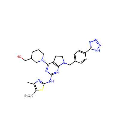 CCOC(=O)c1sc(Nc2nc3c(c(N4CCCC(CO)C4)n2)CCN3Cc2ccc(-c3nnn[nH]3)cc2)nc1C